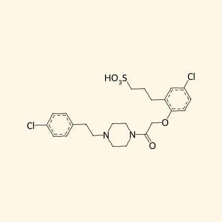 O=C(COc1ccc(Cl)cc1CCCS(=O)(=O)O)N1CCN(CCc2ccc(Cl)cc2)CC1